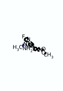 CCOC(=O)N1CC2(CC[C@@H](N3CCN(c4ncc(F)cc4N(N)/C=C(/C)N)CC3)C2)C1